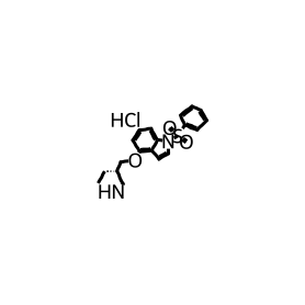 CC[C@@H](C=N)COc1cccc2c1ccn2S(=O)(=O)c1ccccc1.Cl